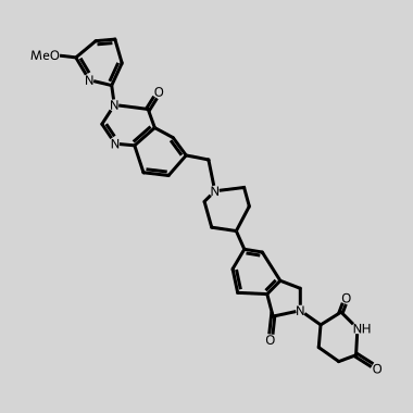 COc1cccc(-n2cnc3ccc(CN4CCC(c5ccc6c(c5)CN(C5CCC(=O)NC5=O)C6=O)CC4)cc3c2=O)n1